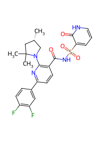 C[C@@H]1CN(c2nc(-c3ccc(F)c(F)c3)ccc2C(=O)NS(=O)(=O)c2ccc[nH]c2=O)C(C)(C)C1